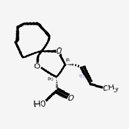 C/C=C/[C@H]1OC2(CCCCC2)O[C@H]1C(=O)O